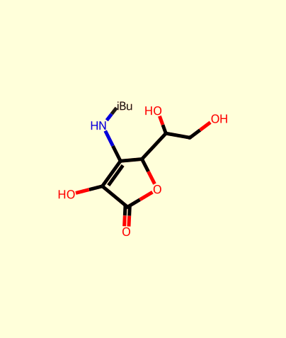 CCC(C)NC1=C(O)C(=O)OC1C(O)CO